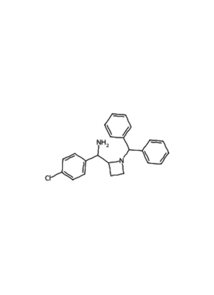 NC(c1ccc(Cl)cc1)C1CCN1C(c1ccccc1)c1ccccc1